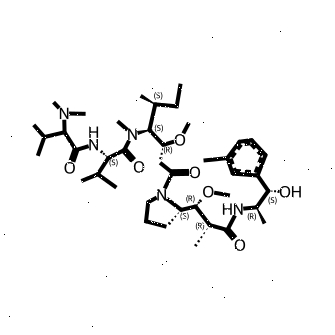 CC[C@H](C)[C@@H]([C@@H](CC(=O)N1CCC[C@H]1[C@H](OC)[C@@H](C)C(=O)N[C@H](C)[C@@H](O)c1cccc(C)c1)OC)N(C)C(=O)[C@@H](NC(=O)C(C(C)C)N(C)C)C(C)C